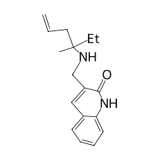 C=CCC(C)(CC)NCc1cc2ccccc2[nH]c1=O